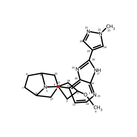 COC1CC(N2C3CCC2CN(c2ccnc4[nH]c(-c5cnn(C)c5)nc24)C3)C1